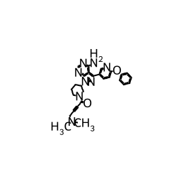 CN(C)CC#CC(=O)N1CCCC(n2nc(-c3ccc(Oc4ccccc4)nc3)c3c(N)ncnc32)C1